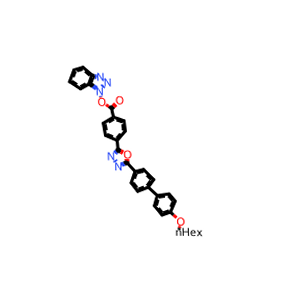 CCCCCCOc1ccc(-c2ccc(-c3nnc(-c4ccc(C(=O)On5nnc6ccccc65)cc4)o3)cc2)cc1